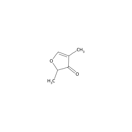 CC1=COC(C)C1=O